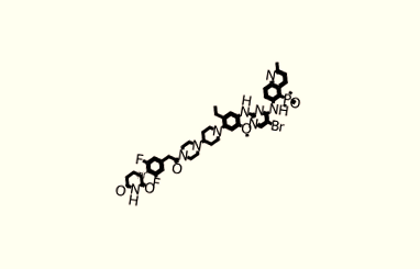 CCc1cc(Nc2ncc(Br)c(Nc3ccc4nc(C)ccc4c3P(C)(C)=O)n2)c(OC)cc1N1CCC(N2CCN(C(=O)Cc3cc(F)c([C@H]4CCC(=O)NC4=O)c(F)c3)CC2)CC1